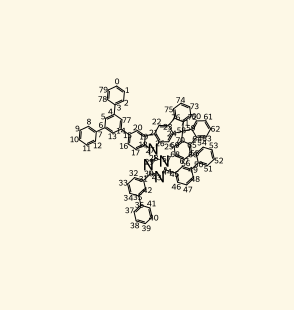 c1ccc(-c2cc(-c3ccccc3)cc(-c3ccc4c(c3)c3cc5c(cc3n4-c3nc(-c4cccc(-c6ccccc6)c4)nc(-c4cccc(-c6ccccc6)c4)n3)C3(c4ccccc4-c4ccccc43)c3ccccc3-5)c2)cc1